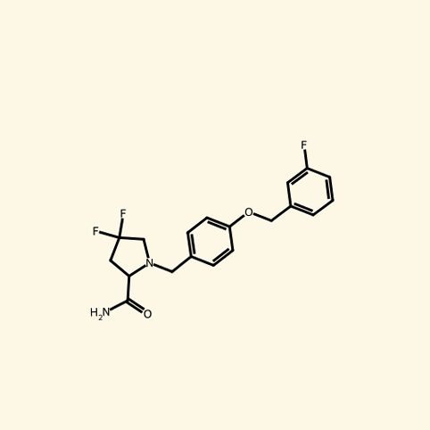 NC(=O)C1CC(F)(F)CN1Cc1ccc(OCc2cccc(F)c2)cc1